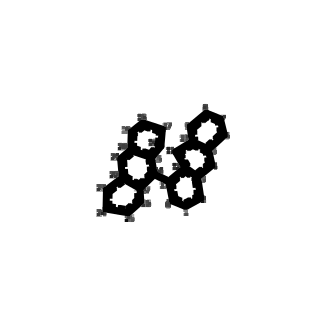 [c]1ccc2cc3ccccc3cc2c1-c1c2ccccc2cc2ccccc12